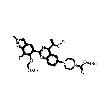 C=C(OCC)c1nc(-c2cc3cn(C)nc3c(F)c2OCOC)nc2ccc(N3CCN(C(=O)OC(C)(C)C)CC3)cc12